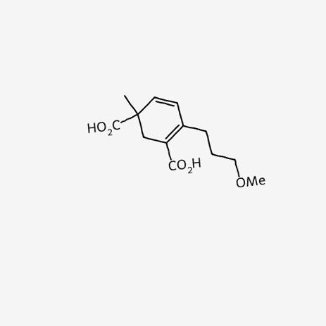 COCCCC1=C(C(=O)O)CC(C)(C(=O)O)C=C1